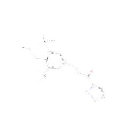 CCCc1c(C(C)(C)C)cc(CCC(=O)c2ccc[nH]2)cc1C(C)(C)C